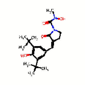 CN(O)C(=O)N1CC/C(=C/c2cc(C(C)(C)C)c(O)c(C(C)(C)C)c2)C1=O